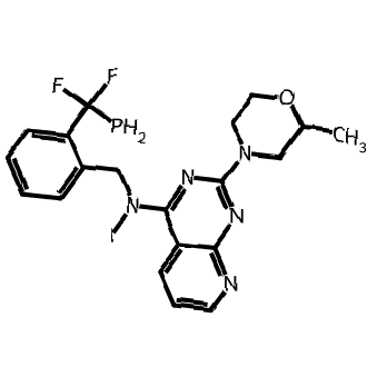 CC1CN(c2nc(N(I)Cc3ccccc3C(F)(F)P)c3cccnc3n2)CCO1